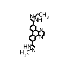 CCc1ncc(-c2ccc3c4ccc(-c5cnc(C)[nH]5)cc4c4nccnc4c3c2)[nH]1